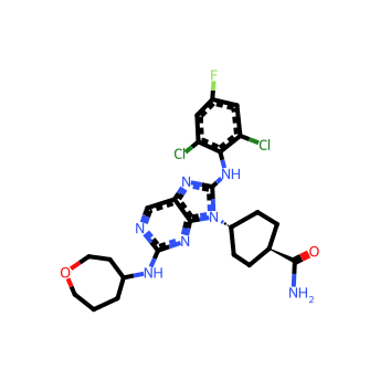 NC(=O)[C@H]1CC[C@H](n2c(Nc3c(Cl)cc(F)cc3Cl)nc3cnc(NC4CCCOCC4)nc32)CC1